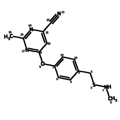 CNSCc1ccc(Oc2cc(C#N)nc(C)n2)cc1